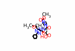 CCOC(=O)N1CCN(C(=O)[C@H](CCC(=O)O)NC(=O)c2cc(C(C)OCC)nc(-c3ccccc3)n2)CC1